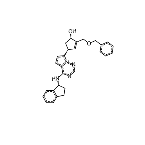 O[C@@H]1C[C@H](c2ccc3c(N[C@H]4CCc5ccccc54)ncnn23)C=C1COCc1ccccc1